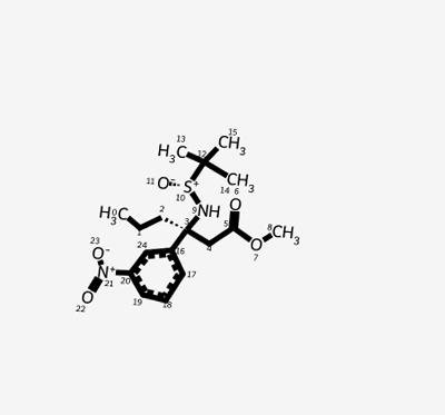 CCC[C@@](CC(=O)OC)(N[S@+]([O-])C(C)(C)C)c1cccc([N+](=O)[O-])c1